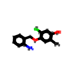 Cc1cc(OCc2ccccc2N)c(Cl)cc1O